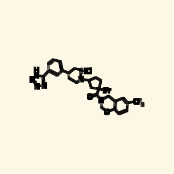 CC(C)C1(C(=O)N2COc3ccc(C(F)(F)F)cc3C2)CCC(N2CCC(c3cccc(-c4nnn[nH]4)c3)CC2)C1.Cl